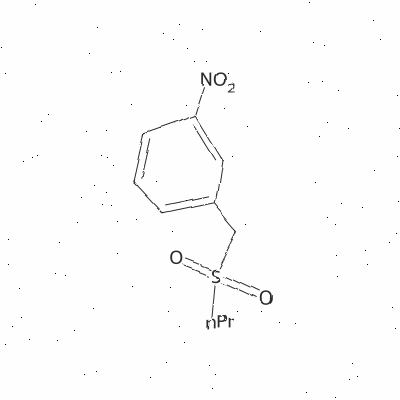 CCCS(=O)(=O)Cc1cccc([N+](=O)[O-])c1